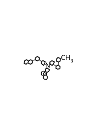 Cc1cccc(-c2ccccc2-c2cccc(N(c3ccc(-c4cccc(-c5ccc6ccccc6c5)c4)cc3)c3ccc4c(c3)oc3ccccc34)c2)c1